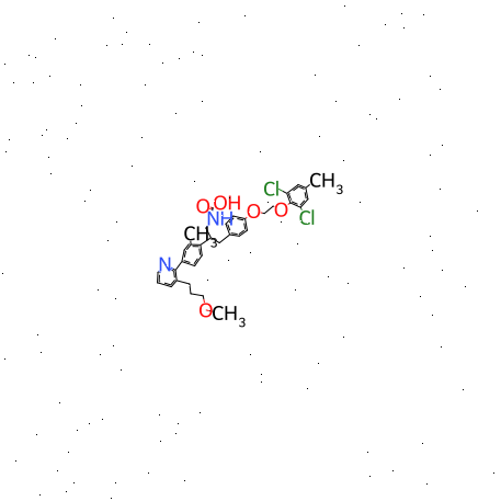 COCCCc1cccnc1-c1ccc(C(CNC(=O)O)Cc2ccc(OCCOc3c(Cl)cc(C)cc3Cl)cc2)c(C)c1